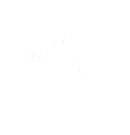 [Ba+2].[F-].[F-].[F-].[F-].[F-].[F-].[F-].[F-].[Pr+3].[Y+3]